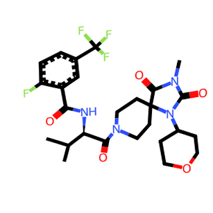 CC(C)[C@@H](NC(=O)c1cc(C(F)(F)F)ccc1F)C(=O)N1CCC2(CC1)C(=O)N(C)C(=O)N2C1CCOCC1